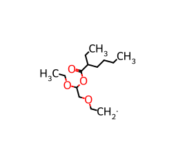 [CH2]COCC(OCC)OC(=O)C(CC)CCCC